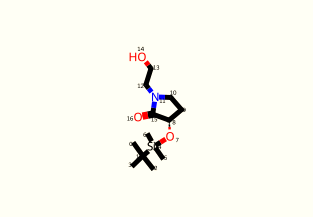 CC(C)(C)[Si](C)(C)O[C@H]1CCN(CCO)C1=O